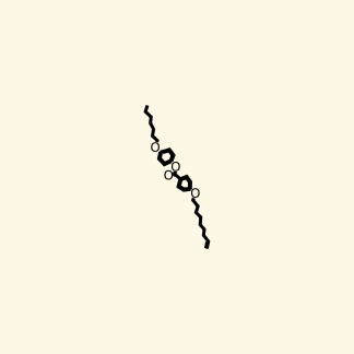 C=CCCCCCCCOc1ccc(C(=O)Oc2ccc(OCCCCCCC)cc2)cc1